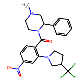 CN1CCN(C(=O)c2ccc([N+](=O)[O-])cc2N2CCC(C(F)(F)F)C2)C(c2ccccc2)C1